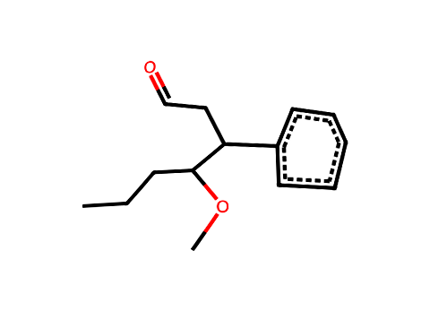 CCCC(OC)C(CC=O)c1ccccc1